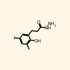 Cc1cc(I)cc(CCC(=O)NN)c1O